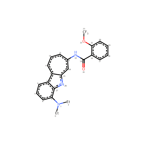 CCN(CC)c1cccc2c3cccc(NC(=O)c4ccccc4OC(F)(F)F)cc-3nc12